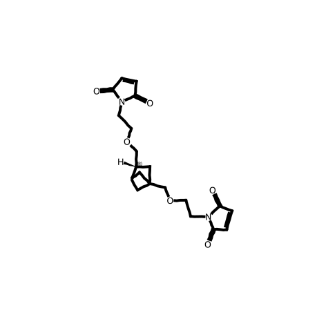 O=C1C=CC(=O)N1CCOC[C@@H]1CC2(COCCN3C(=O)C=CC3=O)CC1C2